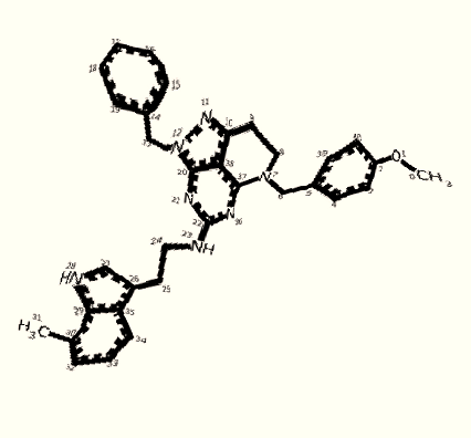 COc1ccc(CN2CCc3nn(Cc4ccccc4)c4nc(NCCc5c[nH]c6c(C)cccc56)nc2c34)cc1